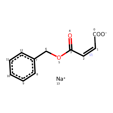 O=C([O-])/C=C\C(=O)OCc1ccccc1.[Na+]